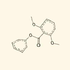 COc1cccc(OC)c1C(=O)Oc1ccccc1